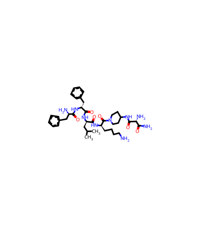 CC(C)C[C@@H](NC(=O)[C@@H](Cc1ccccc1)NC(=O)[C@H](N)Cc1ccccc1)C(=O)N[C@H](CCCCN)C(=O)N1CCC(NC(=O)[C@H](N)C(N)=O)CC1